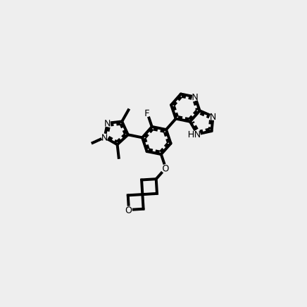 Cc1nn(C)c(C)c1-c1cc(OC2CC3(COC3)C2)cc(-c2ccnc3nc[nH]c23)c1F